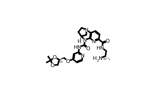 C[C@H](N)CNC(=O)c1ccc2c(n1)N(C(=O)Nc1cc(OC[C@H]3COC(C)(C)O3)ccn1)[C@H]1CCN2C1